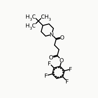 CC(C)(C)C1CCN(C(=O)CCC(=O)Oc2c(F)c(F)cc(F)c2F)CC1